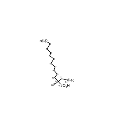 CCCCCCCCCCCCCCCCCCCCC(F)(CCCCCCCCCCC)S(=O)(=O)O